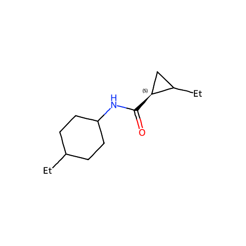 CCC1CCC(NC(=O)[C@H]2CC2CC)CC1